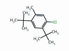 Cc1cc(Cl)c(C(C)(C)C)cc1C(C)(C)C